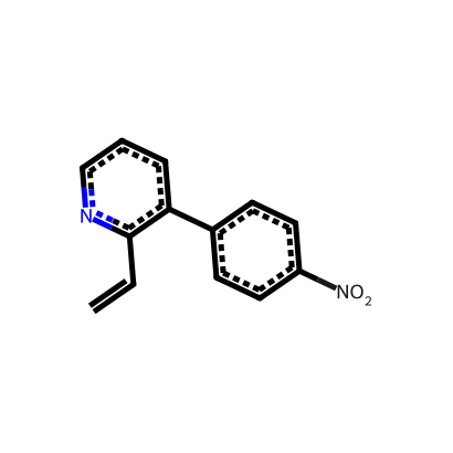 C=Cc1ncccc1-c1ccc([N+](=O)[O-])cc1